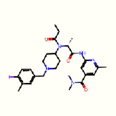 CCC(=O)N(C1CCN(Cc2ccc(I)c(C)c2)CC1)[C@H](C)C(=O)Nc1cc(C(=O)N(C)C)cc(C)n1